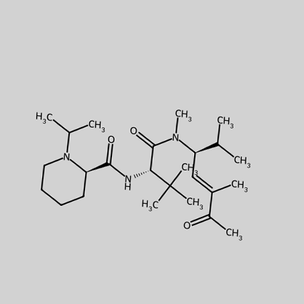 CC(=O)/C(C)=C/[C@H](C(C)C)N(C)C(=O)[C@@H](NC(=O)[C@H]1CCCCN1C(C)C)C(C)(C)C